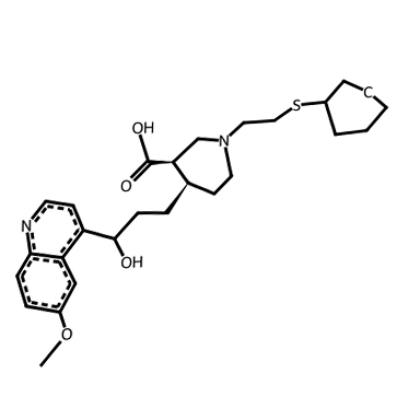 COc1ccc2nccc(C(O)CC[C@@H]3CCN(CCSC4CCCCC4)C[C@@H]3C(=O)O)c2c1